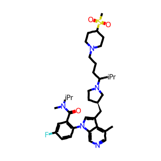 Cc1cncc2c1c(C[C@H]1CCN(C(CCCN3CCC(S(C)(=O)=O)CC3)C(C)C)C1)cn2-c1ccc(F)cc1C(=O)N(C)C(C)C